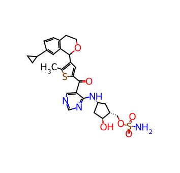 Cc1sc(C(=O)c2cncnc2N[C@@H]2C[C@H](COS(N)(=O)=O)[C@@H](O)C2)cc1C1OCCc2ccc(C3CC3)cc21